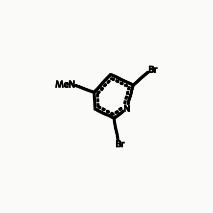 CNc1cc(Br)nc(Br)c1